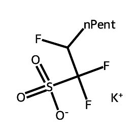 CCCCCC(F)C(F)(F)S(=O)(=O)[O-].[K+]